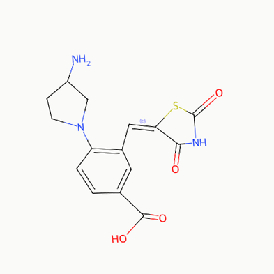 NC1CCN(c2ccc(C(=O)O)cc2/C=C2/SC(=O)NC2=O)C1